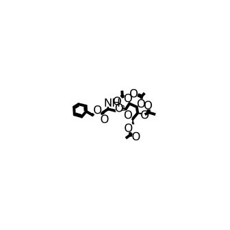 CC(=O)OC[C@H]1O[C@@H](OC[C@H](N)C(=O)OCc2ccccc2)[C@H](OC(C)=O)[C@@H](OC(C)=O)[C@H]1OC(C)=O